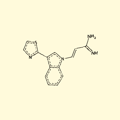 N=C(N)/C=C/n1cc(-c2nccs2)c2ccccc21